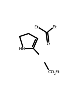 CC1=CCCN1.CCC(=O)CC.CCOC(C)=O